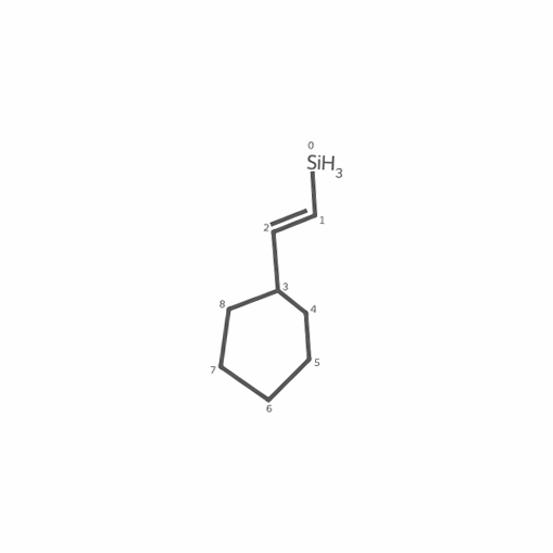 [SiH3]C=CC1CCCCC1